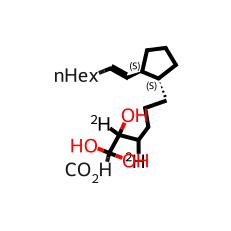 [2H]C(CCC[C@H]1CCC[C@@H]1C=CCCCCCC)C([2H])(O)C(O)(O)C(=O)O